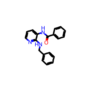 O=C(Nc1cccnc1NCc1ccccc1)c1ccccc1